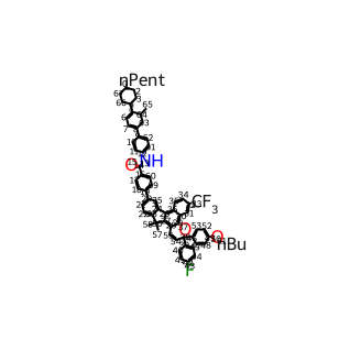 CCCCCC1CCC(C2=CC=C(c3ccc(NC(=O)c4ccc(-c5ccc6c(c5)-c5c(c7c(c8cc(C(F)(F)F)ccc58)OC(c5ccc(F)cc5)(c5ccc(OCCCC)cc5)C=C7)C6(C)C)cc4)cc3)CC2C)CC1